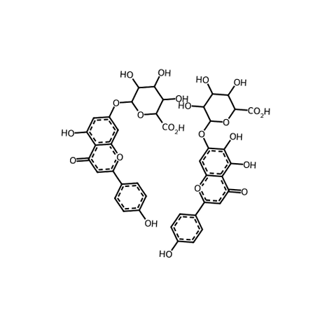 O=C(O)C1OC(Oc2cc(O)c3c(=O)cc(-c4ccc(O)cc4)oc3c2)C(O)C(O)C1O.O=C(O)C1OC(Oc2cc3oc(-c4ccc(O)cc4)cc(=O)c3c(O)c2O)C(O)C(O)C1O